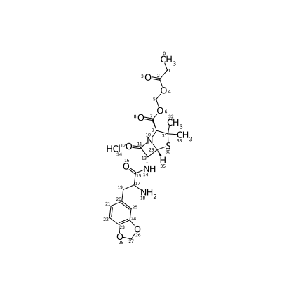 CCC(=O)OCOC(=O)[C@@H]1N2C(=O)[C@@H](NC(=O)C(N)Cc3ccc4c(c3)OCO4)[C@H]2SC1(C)C.Cl